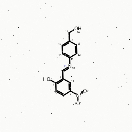 O=[N+]([O-])c1ccc(O)c(/C=N/c2ccc(CO)cc2)c1